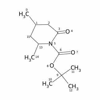 CC1CC(=O)N(C(=O)OC(C)(C)C)C(C)C1